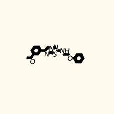 CC(=O)c1cccc(-c2cn3nc(NCCOc4ccccc4)sc3n2)c1